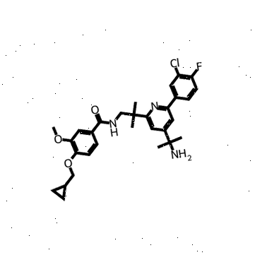 COc1cc(C(=O)NCC(C)(C)c2cc(C(C)(C)N)cc(-c3ccc(F)c(Cl)c3)n2)ccc1OCC1CC1